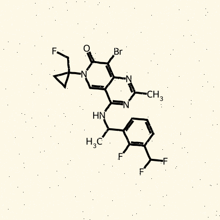 Cc1nc(NC(C)c2cccc(C(F)F)c2F)c2cn(C3(CF)CC3)c(=O)c(Br)c2n1